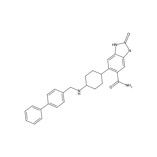 NC(=O)c1cc2c(cc1C1CCC(NCc3ccc(-c4ccccc4)cc3)CC1)NC(=O)[N]2